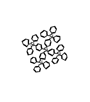 c1ccc([Si](c2ccccc2)(c2ccccc2)c2ccc([Si](c3ccc([Si](c4ccccc4)(c4ccccc4)c4ccccc4)cc3)(c3ccc([Si](c4ccccc4)(c4ccccc4)c4ccccc4)cc3)c3ccc([Si](c4ccccc4)(c4ccccc4)c4ccccc4)cc3)cc2)cc1